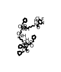 C[C@H](CCCOP(=O)(N[C@@H](CCC(=O)OCc1ccccc1)C(=O)OCc1ccccc1)OCc1ccccc1)NC(=O)CC[C@H](NC(=O)CCCCCNC(=O)c1cnc(F)c(Cl)c1)C(=O)OCc1ccccc1